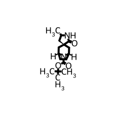 CC1C[C@@]2(C[C@H]3CC[C@@H](C2)N3C(=O)OC(C)(C)C)C(=O)N1